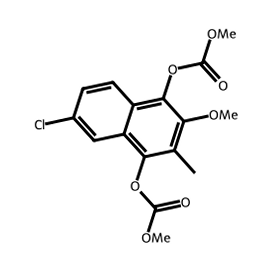 COC(=O)Oc1c(C)c(OC)c(OC(=O)OC)c2ccc(Cl)cc12